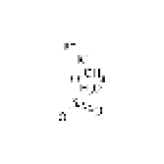 O.O.O=S([O-])[O-].[K+].[K+]